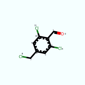 O=Cc1c(Cl)cc(CCl)cc1Cl